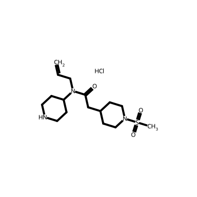 C=CCN(C(=O)CC1CCN(S(C)(=O)=O)CC1)C1CCNCC1.Cl